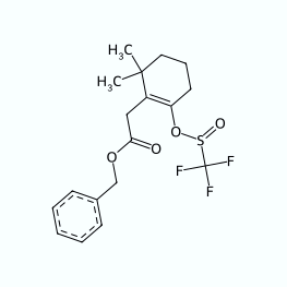 CC1(C)CCCC(OS(=O)C(F)(F)F)=C1CC(=O)OCc1ccccc1